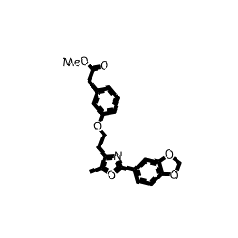 COC(=O)Cc1cccc(OCCc2nc(-c3ccc4c(c3)OCO4)oc2C)c1